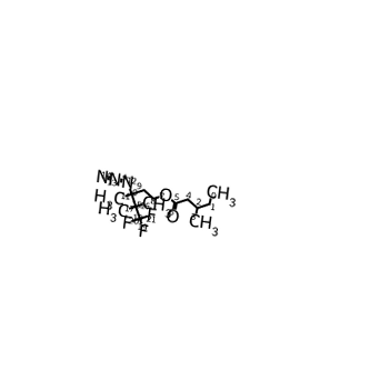 CCC(C)CC(=O)OCCC(C)(N=[N+]=[N-])C(C)(C)C(F)(F)F